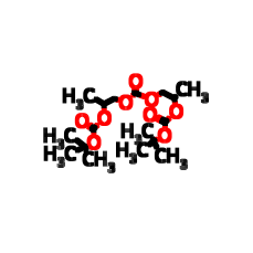 CC(COC(=O)OCC(C)OC(=O)OC(C)(C)C)OC(=O)OC(C)(C)C